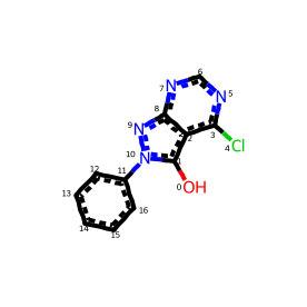 Oc1c2c(Cl)ncnc2nn1-c1ccccc1